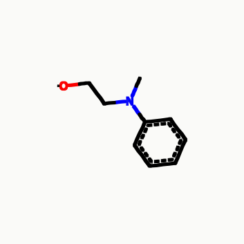 CN(CC[O])c1ccccc1